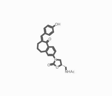 CC(=O)NC[C@H]1CN(c2ccc3c(c2)CCC/C(=C/c2ccc(O)cc2)C3=O)C(=O)O1